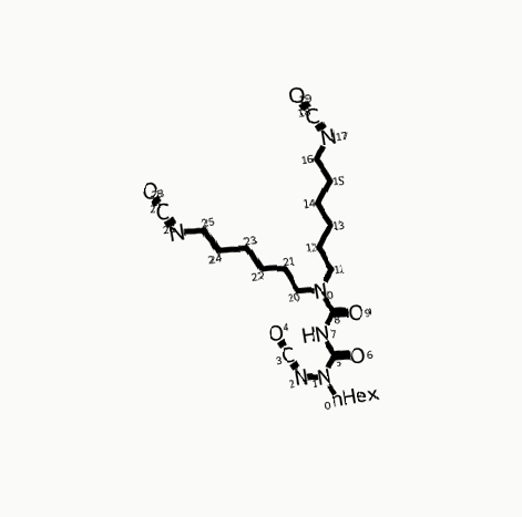 CCCCCCN(N=C=O)C(=O)NC(=O)N(CCCCCCN=C=O)CCCCCCN=C=O